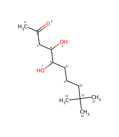 CC(=O)CC(O)C(O)CCCC(C)(C)C